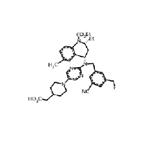 CCOC(=O)N1c2ccc(C)cc2[C@@H](N(Cc2cc(C#N)cc(CF)c2)c2ncc(N3CCC(CC(=O)O)CC3)cn2)C[C@H]1CC